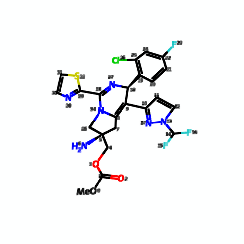 COC(=O)OC[C@@]1(N)CC2=C(c3ccn(C(F)F)n3)[C@H](c3ccc(F)cc3Cl)N=C(c3nccs3)N2C1